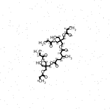 C=CC(=O)OCC(CO)(COC(=O)C=C)COC(=O)CCC(C)CC(=O)OCC(CO)(COC(=O)C=C)COC(=O)C=C